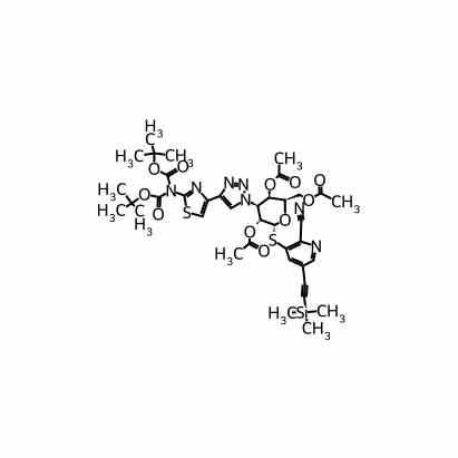 CC(=O)OC[C@H]1O[C@H](Sc2cc(C#C[Si](C)(C)C)cnc2C#N)[C@H](OC(C)=O)[C@@H](n2cc(-c3csc(N(C(=O)OC(C)(C)C)C(=O)OC(C)(C)C)n3)nn2)[C@H]1OC(C)=O